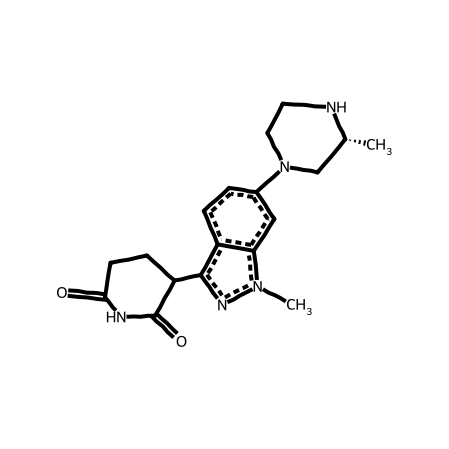 C[C@@H]1CN(c2ccc3c(C4CCC(=O)NC4=O)nn(C)c3c2)CCN1